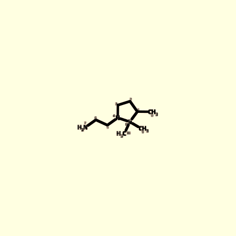 CC1CCN(CCN)[Si]1(C)C